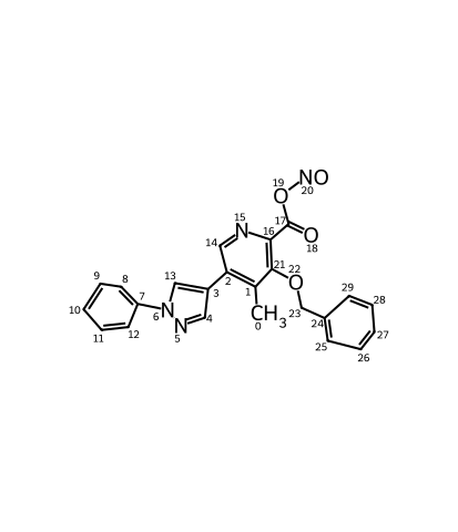 Cc1c(-c2cnn(-c3ccccc3)c2)cnc(C(=O)ON=O)c1OCc1ccccc1